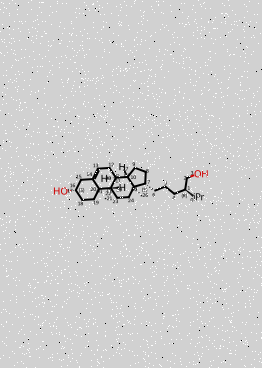 CC(C)[C@H](CO)CCC[C@H]1CC[C@H]2[C@@H]3CC=C4C[C@@H](O)CC[C@]4(C)[C@H]3CC[C@]12C